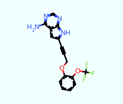 Nc1ncnc2[nH]c(C#CCOc3ccccc3OC(F)(F)F)cc12